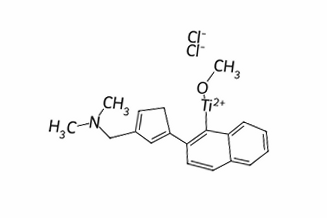 C[O][Ti+2][c]1c(C2=CC(CN(C)C)=CC2)ccc2ccccc12.[Cl-].[Cl-]